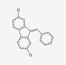 Clc1ccc2c(c1)C(=Cc1ccccc1)c1cc(Cl)ccc1-2